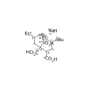 CCCCC(CC)CC(C(=O)O)C(CC(CC)CCCC)(C(=O)O)S(=O)(=O)O.[NaH]